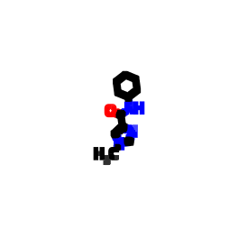 Cn1cnc(C(=O)NC2CCCCC2)c1